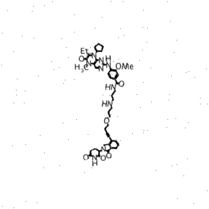 CC[C@@H]1C(=O)N(C)c2cnc(Nc3ccc(C(=O)NCCCNCCCOCCC#Cc4cccc5c4CN(C4CCC(=O)NC4=O)C5=O)cc3OC)nc2N1C1CCCC1